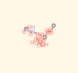 O=C(CCN1C(=O)C=CC1=O)NCCOCCOc1cc(O[C@@H]2O[C@H](C(=O)O)[C@@H](O)[C@H](O)[C@H]2O)ccc1COC(=O)C(=O)OCc1ccccc1